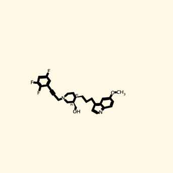 COc1ccc2nccc(CCC[C@@H]3CCN(CC#Cc4cc(F)cc(F)c4F)C[C@@H]3CO)c2c1